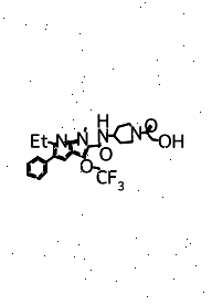 CCc1nc2c(cc1-c1ccccc1)c(OCC(F)(F)F)c(C(=O)NC1CCN(C(=O)CO)CC1)n2C